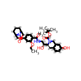 CCOc1cc(C(=O)N2C3CCCC2COC3)ccc1C(=O)NC[C@@H](O)[C@@H]1Cc2ccc(O)cc2CN1C(=O)OC(C)(C)C